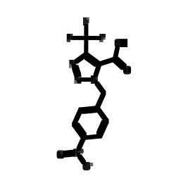 O=C(O)c1c(C(F)(F)F)nnn1Cc1ccc([N+](=O)[O-])cc1